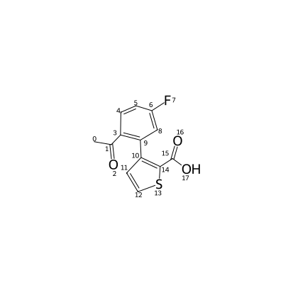 CC(=O)c1ccc(F)cc1-c1ccsc1C(=O)O